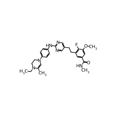 CCN1CCN(c2ccc(Nc3ncc(CCc4cc(C(=O)NC)cc(OC)c4F)cn3)cc2)C=C1C